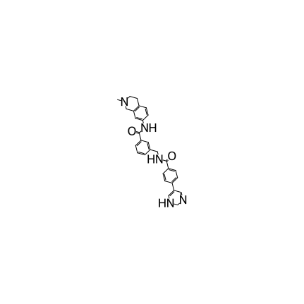 CN1CCc2ccc(NC(=O)c3cccc(CNC(=O)c4ccc(C5=CNCN=C5)cc4)c3)cc2C1